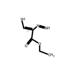 CCOC(=O)/C(=C/S)N=N